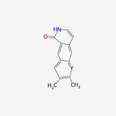 CC1=[C](C)[Y]=[c]2cc3cc[nH]c(=O)c3cc2=C1